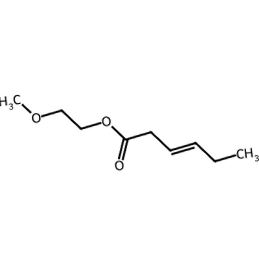 CCC=CCC(=O)OCCOC